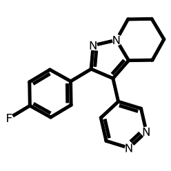 Fc1ccc(-c2nn3c(c2-c2ccnnc2)CCCC3)cc1